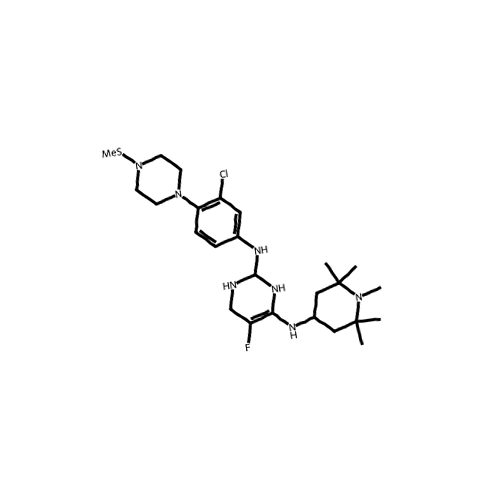 CSN1CCN(c2ccc(NC3NCC(F)=C(NC4CC(C)(C)N(C)C(C)(C)C4)N3)cc2Cl)CC1